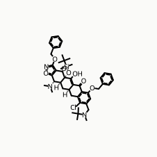 CN(C)[C@@H]1c2onc(OCc3ccccc3)c2C(=O)[C@@]2(O[Si](C)(C)C(C)(C)C)C(O)=C3C(=O)c4c(OCc5ccccc5)cc(CN(C)C(C)(C)C)c(Cl)c4C[C@H]3C[C@@H]12